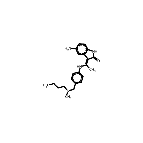 CCCCN(C)Cc1ccc(NC(C)=C2C(=O)Nc3ccc(N)cc32)cc1